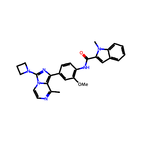 COc1cc(-c2nc(N3CCC3)n3ccnc(C)c23)ccc1NC(=O)c1cc2ccccc2n1C